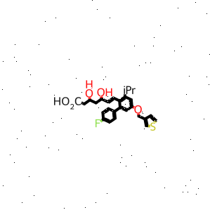 CC(C)c1cc(OCc2ccsc2)cc(-c2ccc(F)cc2)c1/C=C/C(O)CC(O)CC(=O)O